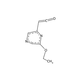 CCOc1cncc(C=C=O)n1